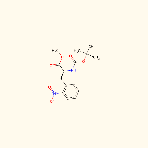 COC(=O)[C@H](Cc1ccccc1[N+](=O)[O-])NC(=O)OC(C)(C)C